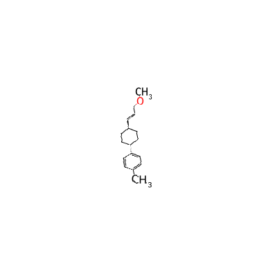 COC/C=C/[C@H]1CC[C@H](c2ccc(C)cc2)CC1